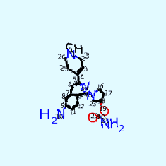 CN1CC=C(c2cc3cc(N)ccc3c(N3CCC(OC(N)=O)C3)n2)CC1